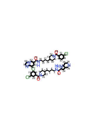 O=C(NCCCCC1CCN(C(=O)c2cc(Cl)cc(Cl)c2)CC1)c1cc2cnccc2[nH]1.O=C(NCCCCC1CCN(C(=O)c2cccc(Cl)c2)CC1)c1ccc2nccn2c1